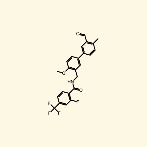 COc1ccc(-c2ccc(C)c(C=O)c2)cc1CNC(=O)c1ccc(C(F)(F)F)cc1F